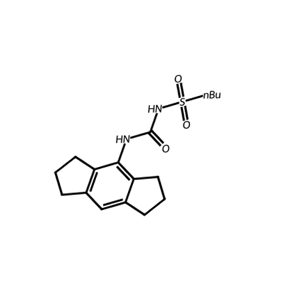 CCCCS(=O)(=O)NC(=O)Nc1c2c(cc3c1CCC3)CCC2